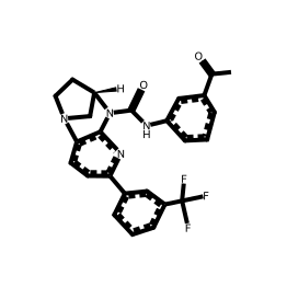 CC(=O)c1cccc(NC(=O)N2c3nc(-c4cccc(C(F)(F)F)c4)ccc3N3CC[C@H]2C3)c1